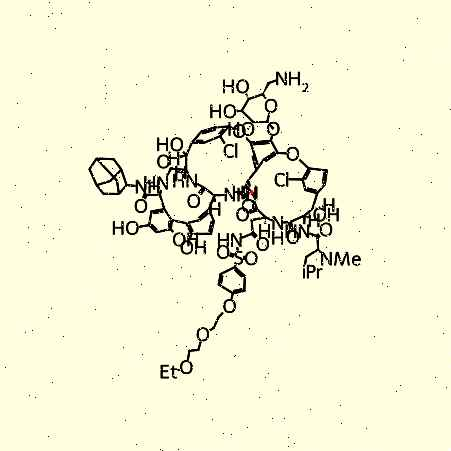 CCOCCOCCOc1ccc(S(=O)(=O)NC(=O)C[C@@H]2NC(=O)[C@H](NC(=O)[C@@H](CC(C)C)NC)[C@H](O)c3ccc(c(Cl)c3)Oc3cc4cc(c3O[C@@H]3O[C@H](CN)[C@@H](O)[C@H](O)[C@H]3O)Oc3ccc(cc3Cl)[C@@H](O)[C@@H]3NC(=O)[C@H](NC(=O)[C@@H]4NC2=O)c2ccc(O)c(c2)-c2c(O)cc(O)cc2[C@@H](C(=O)NC2C4CC5CC(C4)CC2C5)NC3=O)cc1